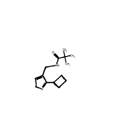 CC(C)(C)C(=O)NCC1=CCN=C1C1CCC1